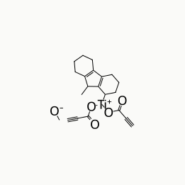 C#CC(=O)[O][Ti+]([O]C(=O)C#C)[CH]1CCCC2=C1C(C)C1=C2CCCC1.C[O-]